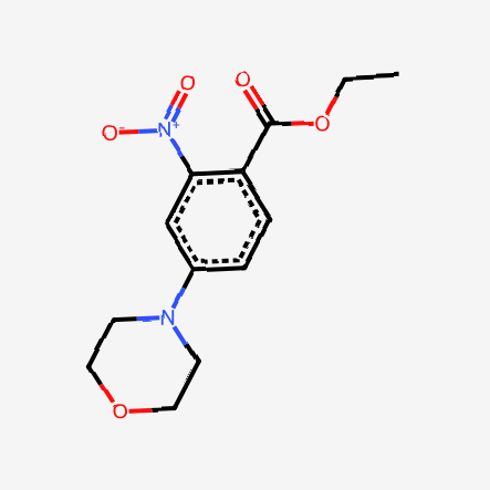 CCOC(=O)c1ccc(N2CCOCC2)cc1[N+](=O)[O-]